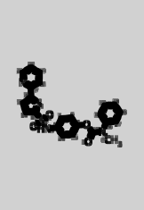 CN(C(=O)Oc1ccc(NS(=O)(=O)c2ccc(-c3ccccn3)s2)cc1)c1ccccc1